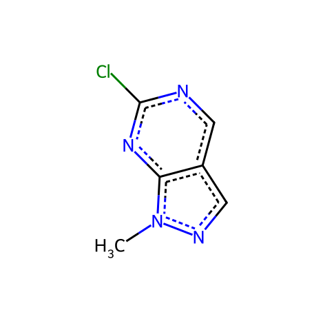 Cn1ncc2cnc(Cl)nc21